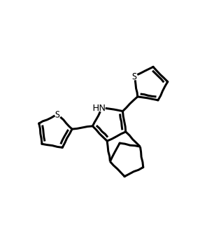 c1csc(-c2[nH]c(-c3cccs3)c3c2C2CCC3C2)c1